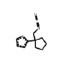 O=C=NCC1(c2cccs2)CCCC1